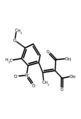 COc1ccc(C(C)=C(C(=O)O)C(=O)O)c([N+](=O)[O-])c1C